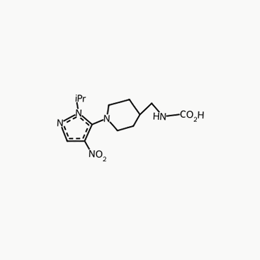 CC(C)n1ncc([N+](=O)[O-])c1N1CCC(CNC(=O)O)CC1